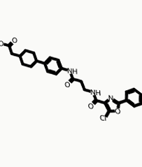 O=C(O)CC1CCC(c2ccc(NC(=O)CCNC(=O)c3nc(-c4ccccc4)oc3Cl)cc2)CC1